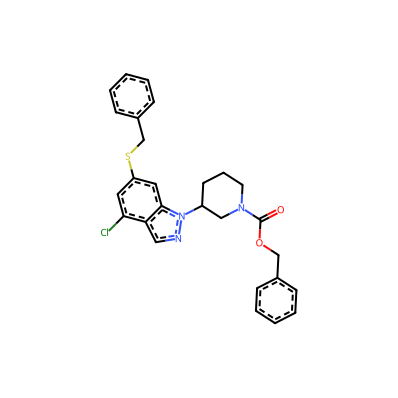 O=C(OCc1ccccc1)N1CCCC(n2ncc3c(Cl)cc(SCc4ccccc4)cc32)C1